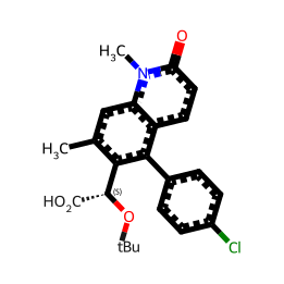 Cc1cc2c(ccc(=O)n2C)c(-c2ccc(Cl)cc2)c1[C@H](OC(C)(C)C)C(=O)O